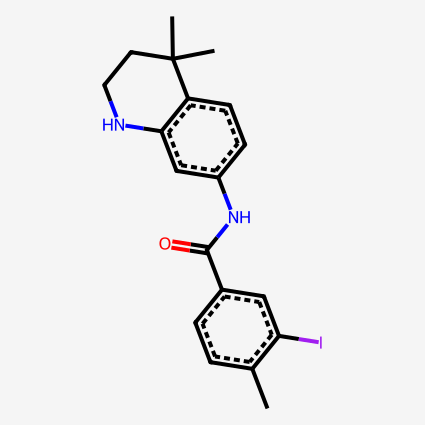 Cc1ccc(C(=O)Nc2ccc3c(c2)NCCC3(C)C)cc1I